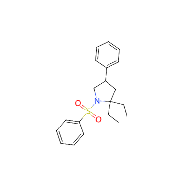 CCC1(CC)CC(c2ccccc2)CN1S(=O)(=O)c1ccccc1